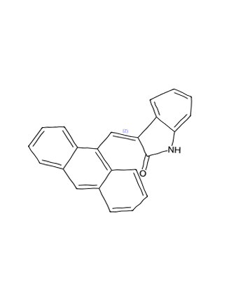 O=C1Nc2ccccc2/C1=C/c1c2ccccc2cc2ccccc12